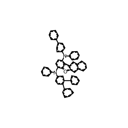 c1ccc(-c2ccc(N(c3ccccc3)c3ccc(N(c4ccccc4)c4ccc(-c5ccccc5)c(-c5ccccc5)c4)c4oc5cc6ccccc6cc5c34)cc2)cc1